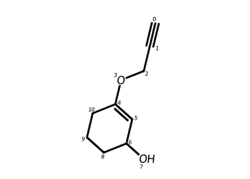 C#CCOC1=CC(O)CCC1